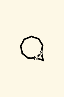 C1CCCN2CN2CCC1